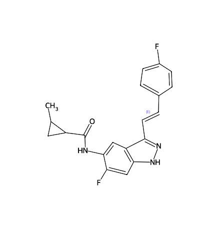 CC1CC1C(=O)Nc1cc2c(/C=C/c3ccc(F)cc3)n[nH]c2cc1F